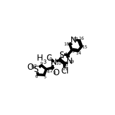 CN(C(=O)C1CC[S+]([O-])C1)c1sc(-c2cccnc2)nc1Cl